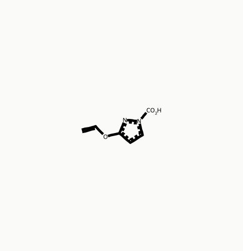 C=COc1ccn(C(=O)O)n1